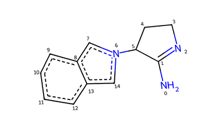 NC1=NCCC1n1cc2ccccc2c1